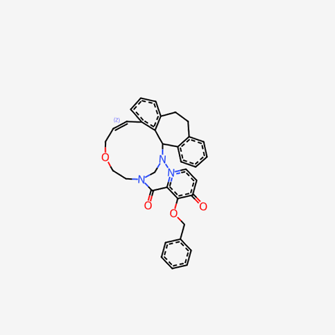 O=C1c2c(OCc3ccccc3)c(=O)ccn2N2CN1CCOC/C=C\c1cccc3c1C2c1ccccc1CC3